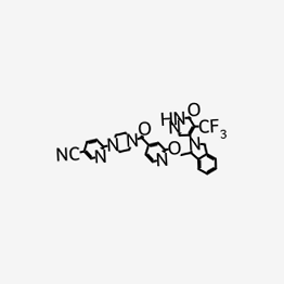 N#Cc1ccc(N2CCN(C(=O)c3ccnc(OCC4c5ccccc5CN4c4cn[nH]c(=O)c4C(F)(F)F)c3)CC2)nc1